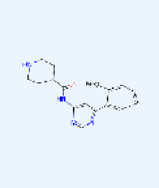 COc1ccccc1-c1cc(NC(=O)C2CCNCC2)ncn1